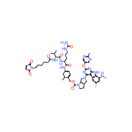 CNc1cc(F)cc2c1[nH]c1nc(Oc3cnc(C)nc3)nc(N3CC4CCN(C(=O)OCC5=CC=C(NC(=O)C(CCCNC(N)=O)NC(=O)[C@@H](NC(=O)CCCCCN6C(=O)C=CC6=O)C(C)C)CC5C)C4C3)c12